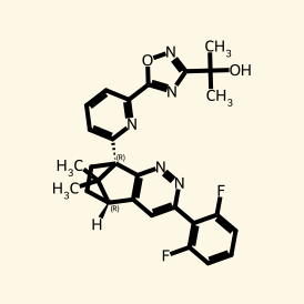 CC(C)(O)c1noc(-c2cccc([C@]34CC[C@@H](c5cc(-c6c(F)cccc6F)nnc53)C4(C)C)n2)n1